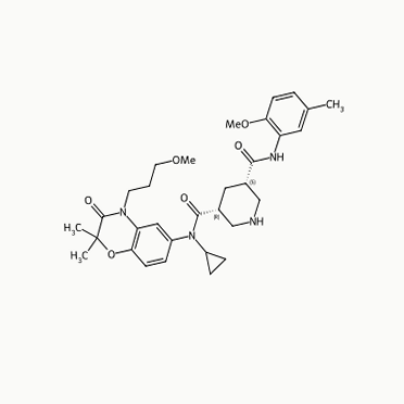 COCCCN1C(=O)C(C)(C)Oc2ccc(N(C(=O)[C@H]3CNC[C@@H](C(=O)Nc4cc(C)ccc4OC)C3)C3CC3)cc21